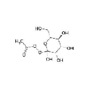 CC(=O)OO[C@@]1(O)O[C@H](CO)[C@@H](O)[C@H](O)[C@@H]1O